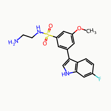 COc1cc(-c2c[nH]c3cc(F)ccc23)cc(S(=O)(=O)NCCN)c1